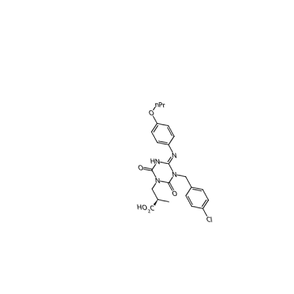 CCCOc1ccc(/N=c2\[nH]c(=O)n(C[C@@H](C)C(=O)O)c(=O)n2Cc2ccc(Cl)cc2)cc1